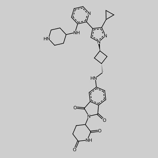 O=C1CCC(N2C(=O)c3ccc(NC[C@H]4C[C@H](n5cc(-c6ncccc6NC6CCNCC6)c(C6CC6)n5)C4)cc3C2=O)C(=O)N1